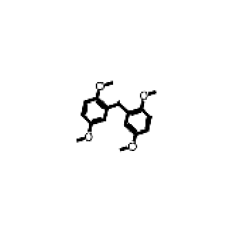 COc1ccc(OC)c([CH]c2cc(OC)ccc2OC)c1